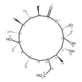 CC[C@H]1OC(=O)[C@H](C)[C@@H](C)[C@H](C)[C@@H](C)[C@](C)(O)C[C@@H](C)CN(CC(=O)O)[C@H](C)[C@@H](O)[C@]1(C)O